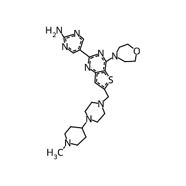 CN1CCC(N2CCN(Cc3cc4nc(-c5cnc(N)nc5)nc(N5CCOCC5)c4s3)CC2)CC1